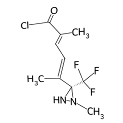 C/C(=C\C=C(/C)[C@]1(C(F)(F)F)NN1C)C(=O)Cl